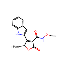 CCCCCC1OC(=O)C(C(=O)NOC(C)(C)C)=C1c1cc2ccccc2[nH]1